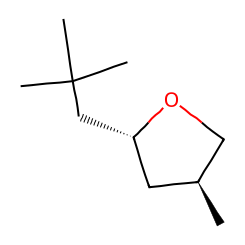 C[C@@H]1CO[C@@H](CC(C)(C)C)C1